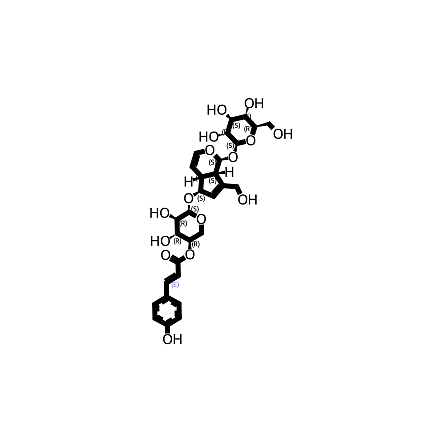 O=C(/C=C/c1ccc(O)cc1)O[C@@H]1CO[C@@H](O[C@@H]2C=C(CO)[C@H]3[C@H](O[C@@H]4O[C@H](CO)[C@@H](O)[C@H](O)[C@H]4O)OC=C[C@H]32)[C@H](O)[C@H]1O